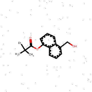 CCC(C)(C)C(=O)Oc1cccc2c(CO)cccc12